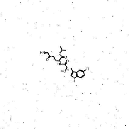 CO[C@@H](Cc1c[nH]c2ccc(Cl)cc12)C(=O)N[C@@H](CCC(=O)C=N)C(=O)OC(C)C